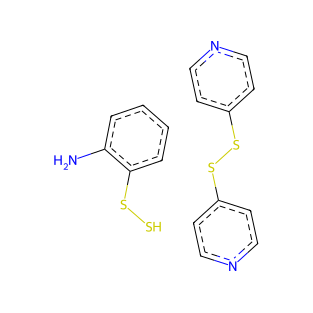 Nc1ccccc1SS.c1cc(SSc2ccncc2)ccn1